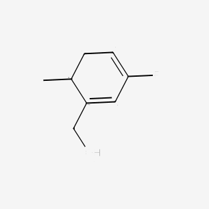 CC1CC=C(F)C=C1CO